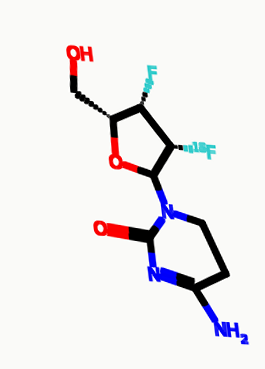 NC1=NC(=O)N(C2O[C@H](CO)[C@H](F)[C@@H]2[18F])CC1